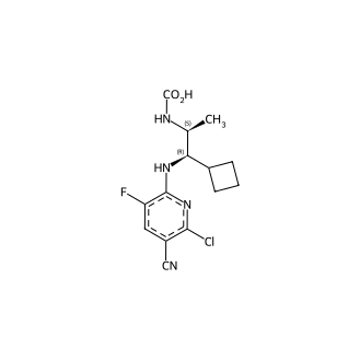 C[C@H](NC(=O)O)[C@H](Nc1nc(Cl)c(C#N)cc1F)C1CCC1